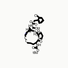 CC(C)(C)OC(=O)N[C@H]1CCCCC/C=C\[C@@H]2C[C@@]2(C(O)NS(=O)(=O)Cc2ccccc2Cl)NC(=O)[C@@H]2CCCN2C1=O